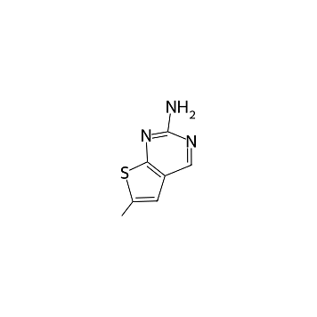 Cc1cc2cnc(N)nc2s1